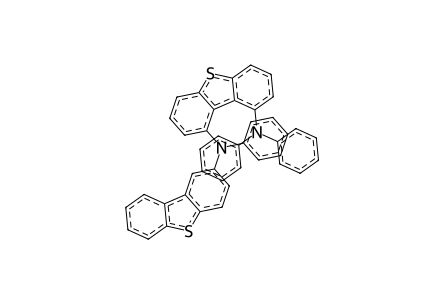 c1ccc(N(c2ccccc2)c2cccc3sc4cccc(N(c5ccccc5)c5ccc6sc7ccccc7c6c5)c4c23)cc1